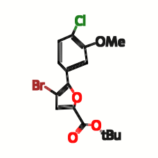 COc1cc(-c2oc(C(=O)OC(C)(C)C)cc2Br)ccc1Cl